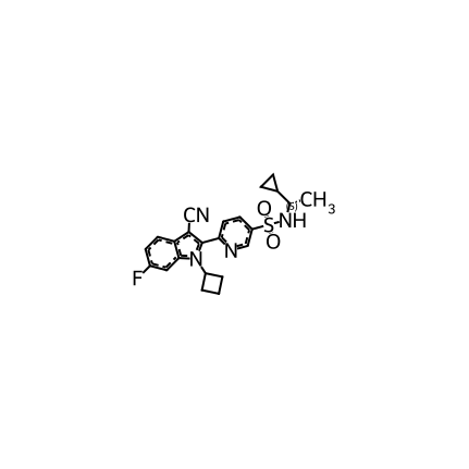 C[C@H](NS(=O)(=O)c1ccc(-c2c(C#N)c3ccc(F)cc3n2C2CCC2)nc1)C1CC1